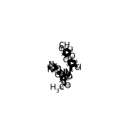 COc1ccc(Oc2ccc(CNC(=O)C3(NC(=O)Oc4cncnc4)CCN(C(C)=O)C3)c(Cl)c2)c(Cl)c1